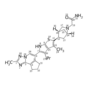 Cc1nc2c3c(c(-c4[nH]c5sc([C@@H]6C[C@@H]7C[C@H]6CN7CC(N)=O)c(C)c5c4C(C)C)cn2n1)CCC3